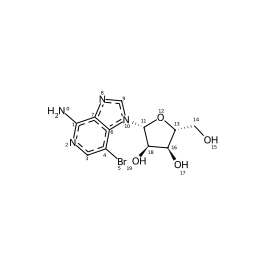 Nc1ncc(Br)c2c1ncn2[C@@H]1O[C@H](CO)[C@@H](O)[C@H]1O